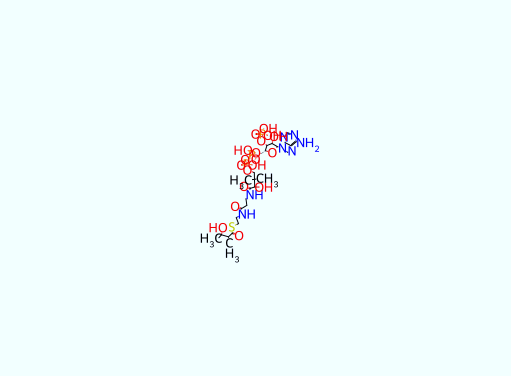 CC(O)[C@H](C)C(=O)SCCNC(=O)CCNC(=O)[C@H](O)C(C)(C)COP(=O)(O)OP(=O)(O)OC[C@H]1O[C@@H](n2cnc3c(N)ncnc32)[C@H](O)[C@@H]1OP(=O)(O)O